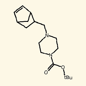 CC(C)(C)OC(=O)N1CCN(CC2CC3C=CC2C3)CC1